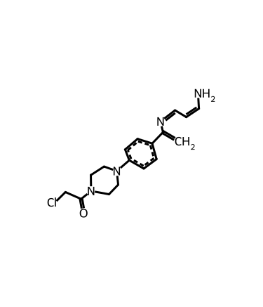 C=C(/N=C\C=C/N)c1ccc(N2CCN(C(=O)CCl)CC2)cc1